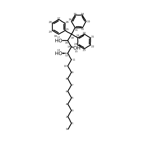 CCCCCCCCCCCC[C@@H](O)C(O)C(O)C(c1ccccc1)(c1ccccc1)c1ccccc1